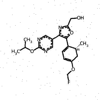 CC(C)Oc1ncc(-c2nc(CO)oc2C2=CC=C(OCF)C[C@H]2C)cn1